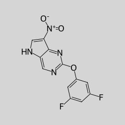 O=[N+]([O-])c1c[nH]c2cnc(Oc3cc(F)cc(F)c3)nc12